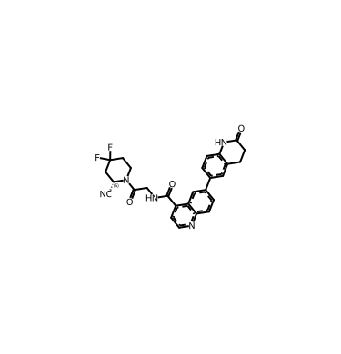 N#C[C@@H]1CC(F)(F)CCN1C(=O)CNC(=O)c1ccnc2ccc(-c3ccc4c(c3)CCC(=O)N4)cc12